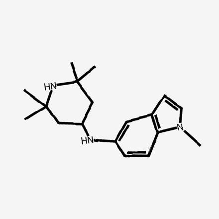 Cn1ccc2cc(NC3CC(C)(C)NC(C)(C)C3)ccc21